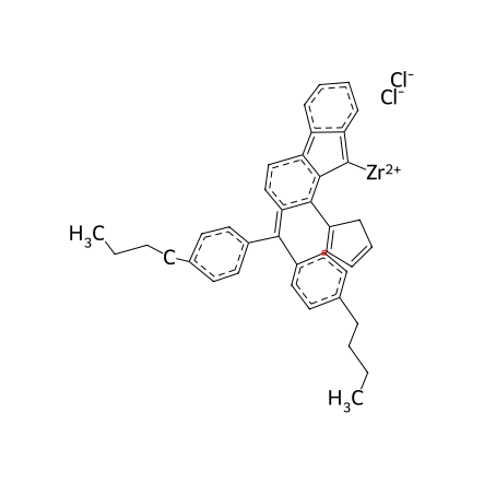 CCCCc1ccc(C(c2ccc(CCCC)cc2)=c2ccc3c(c2C2=CC=CC2)[C]([Zr+2])=c2ccccc2=3)cc1.[Cl-].[Cl-]